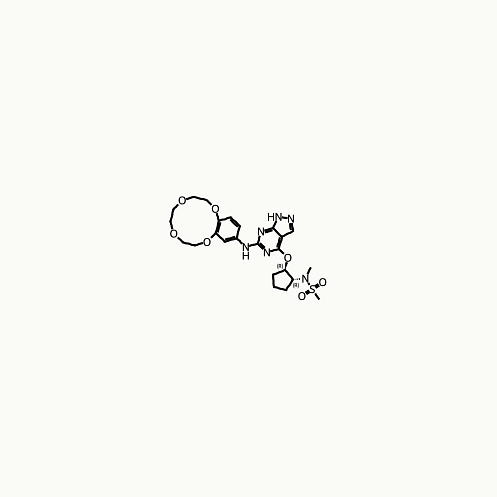 CN([C@@H]1CCC[C@H]1Oc1nc(Nc2ccc3c(c2)OCCOCCOCCO3)nc2[nH]ncc12)S(C)(=O)=O